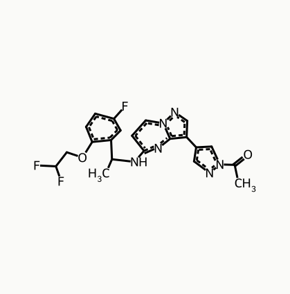 CC(=O)n1cc(-c2cnn3ccc(NC(C)c4cc(F)ccc4OCC(F)F)nc23)cn1